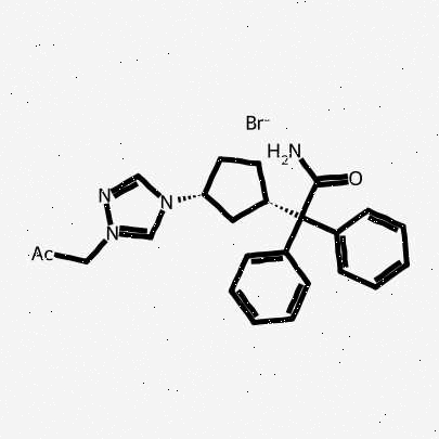 CC(=O)C[n+]1cn([C@@H]2CC[C@H](C(C(N)=O)(c3ccccc3)c3ccccc3)C2)cn1.[Br-]